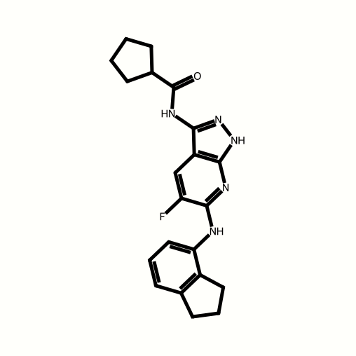 O=C(Nc1n[nH]c2nc(Nc3cccc4c3CCC4)c(F)cc12)C1CCCC1